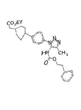 CCOC(=O)CC1CCC(c2ccc(-n3nnc(C)c3NC(=O)OCCc3ccccc3)cc2)CC1